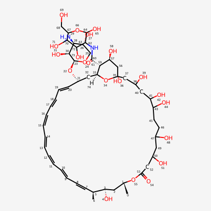 C[C@H]1C[C@H](O)[C@@H](C)/C=C/C=C/C=C/C=C/C=C/C=C/C=C/[C@H](O[C@@H]2OC[C@@H](O)[C@H](N)[C@@H]2O)C[C@@H]2O[C@](O)(CC(O)CC(O)C(O)CCC(O)CC(O)CC(=O)O1)C[C@H](O)[C@H]2C(=O)NC1C(O)OC(CO)C(O)C1O